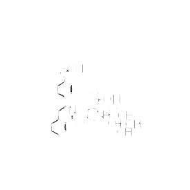 COc1ccc(-c2cc3ccccc3c(O[C@@H]3C[C@@H](C(=O)O)N(C(=O)OC(C)(C)C)C3)n2)cc1